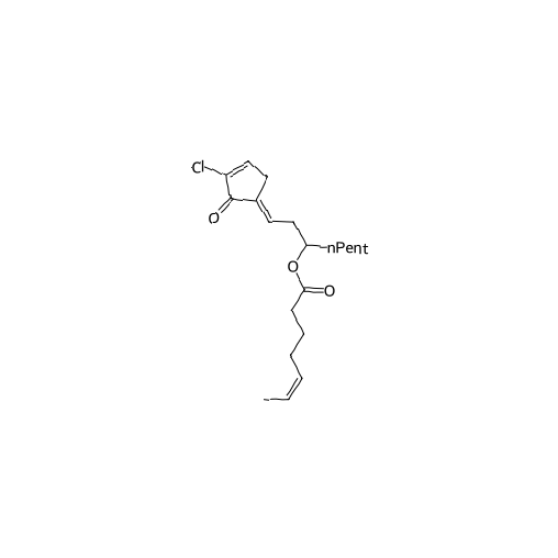 C/C=C\CCCC(=O)OC(C/C=C1\CC=C(Cl)C1=O)CCCCC